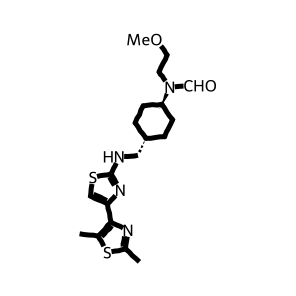 COCCN(C=O)[C@H]1CC[C@H](CNc2nc(-c3nc(C)sc3C)cs2)CC1